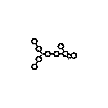 c1ccc(-c2ccc(N(c3ccc(-c4ccccc4)cc3)c3ccc(-c4ccc(-c5cc6sc7ccccc7c6cc5-c5ccccc5)cc4)cc3)cc2)cc1